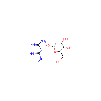 CN(C)C(=N)NC(=N)N.OC[C@H]1OC(O)C[C@@H](O)[C@@H]1O